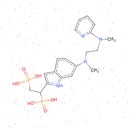 CN(CCN(C)c1ccccn1)c1ccc2cc(C(CP(=O)(O)O)P(=O)(O)O)[nH]c2c1